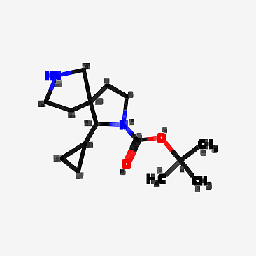 CC(C)(C)OC(=O)N1CCC2(CCNC2)C1C1CC1